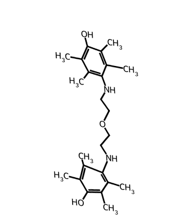 Cc1c(C)c(NCCOCCNc2c(C)c(C)c(O)c(C)c2C)c(C)c(C)c1O